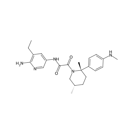 CCc1cc(NC(=O)C(=O)N2C[C@@H](C)CC[C@@]2(C)c2ccc(NC)cc2)cnc1N